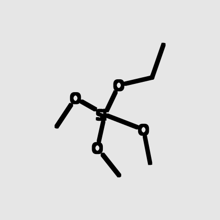 CCO[Si](OC)(OC)OC